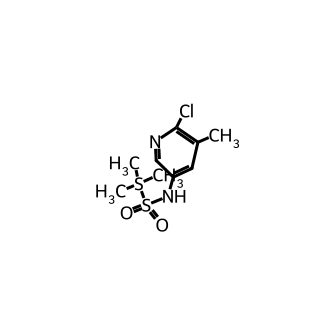 Cc1cc(NS(=O)(=O)S(C)(C)C)cnc1Cl